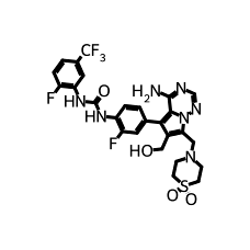 Nc1ncnn2c(CN3CCS(=O)(=O)CC3)c(CO)c(-c3ccc(NC(=O)Nc4cc(C(F)(F)F)ccc4F)c(F)c3)c12